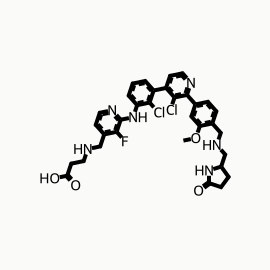 COc1cc(-c2nccc(-c3cccc(Nc4nccc(CNCCC(=O)O)c4F)c3Cl)c2Cl)ccc1CNCC1CCC(=O)N1